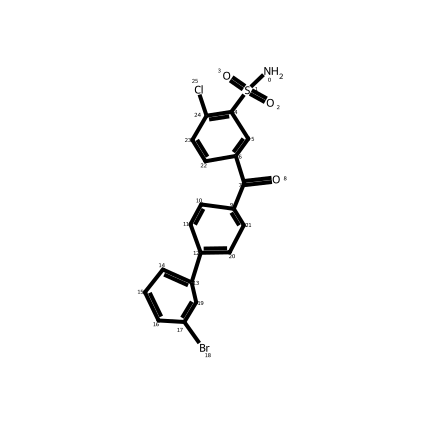 NS(=O)(=O)c1cc(C(=O)c2ccc(-c3cccc(Br)c3)cc2)ccc1Cl